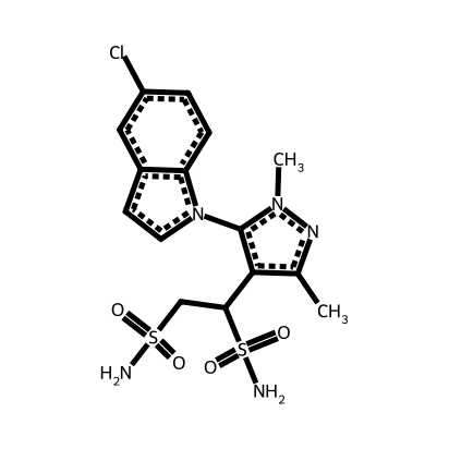 Cc1nn(C)c(-n2ccc3cc(Cl)ccc32)c1C(CS(N)(=O)=O)S(N)(=O)=O